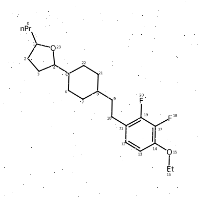 CCCC1CCC(C2CCC(CCc3ccc(OCC)c(F)c3F)CC2)O1